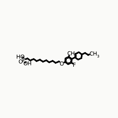 CCCC1CCC(c2c(C)cc(OCCCCCCCCCCCP(=O)(O)O)cc2F)CC1